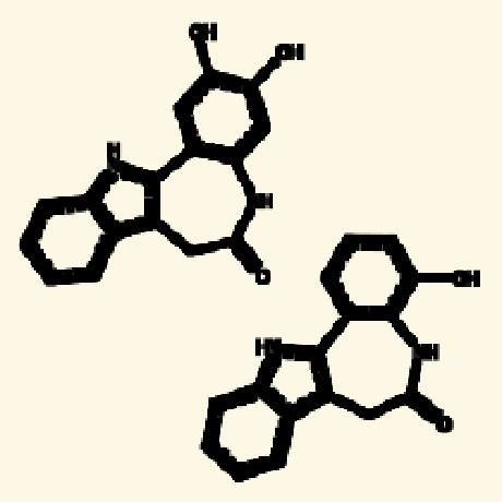 O=C1Cc2c([nH]c3ccccc23)-c2cc(O)c(O)cc2N1.O=C1Cc2c([nH]c3ccccc23)-c2cccc(O)c2N1